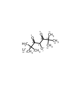 CC(C)(C)C(=O)C([O-])C(=O)C(C)(C)C.[Li+]